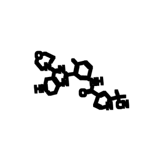 Cc1ccc(NC(=O)c2ccnc(C(C)(C)C#N)c2)cc1-c1nc2c(c(N3CCOCC3)n1)CNCC2